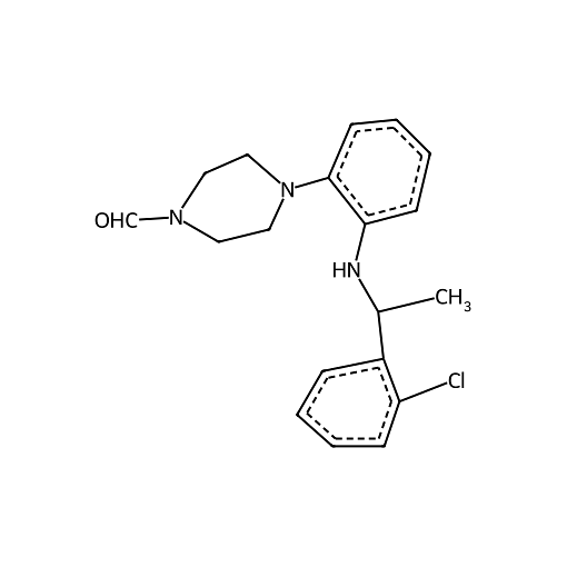 CC(Nc1ccccc1N1CCN(C=O)CC1)c1ccccc1Cl